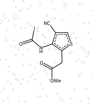 COC(=O)Cc1scc(C#N)c1NC(=O)I